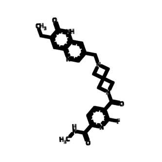 CCc1cc2ncc(CN3CC4(C3)CN(C(=O)c3ccc(C(=O)NC)nc3F)C4)cc2[nH]c1=O